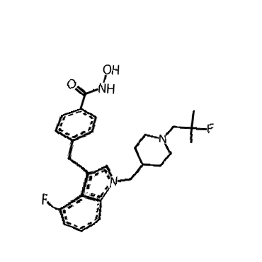 CC(C)(F)CN1CCC(Cn2cc(Cc3ccc(C(=O)NO)cc3)c3c(F)cccc32)CC1